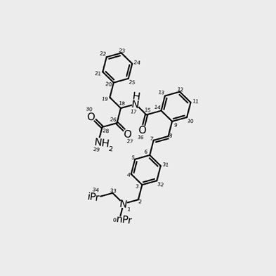 CCCN(Cc1ccc(C=Cc2ccccc2C(=O)NC(Cc2ccccc2)C(=O)C(N)=O)cc1)CC(C)C